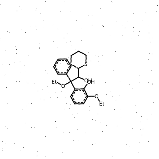 CCOc1cccc(C(OCC)(c2ccccc2)C(O)C2SCCCS2)c1O